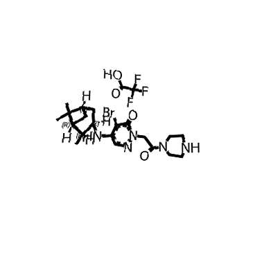 C[C@@H]1[C@H]2C[C@@H](C[C@H]1Nc1cnn(CC(=O)N3CCNCC3)c(=O)c1Br)C2(C)C.O=C(O)C(F)(F)F